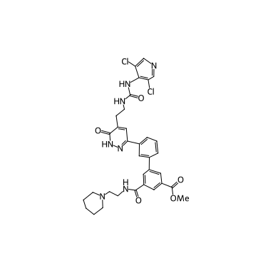 COC(=O)c1cc(C(=O)NCCN2CCCCC2)cc(-c2cccc(-c3cc(CCNC(=O)Nc4c(Cl)cncc4Cl)c(=O)[nH]n3)c2)c1